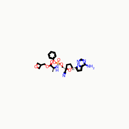 C[C@H](N[P@](=O)(OC[C@]1(C#N)CC[C@H](c2ccc3c(N)ncnn23)O1)Oc1ccccc1)C(=O)OCC1COC1